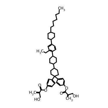 C=C(CO)C(=O)Oc1ccc(C2(c3ccc(OC(=O)C(=C)CO)cc3)CCC(C3CCC(c4ccc(C5CCC(CCCCCCC)CC5)cc4CC)CC3)CC2)cc1